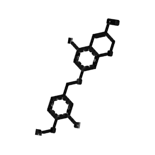 CC(C)Oc1ccc(COc2cc(F)c3c(c2)OCC(C=O)=C3)cc1Cl